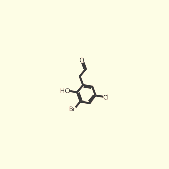 O=CCc1cc(Cl)cc(Br)c1O